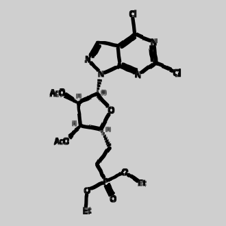 CCOP(=O)(CC[C@H]1O[C@@H](n2ncc3c(Cl)nc(Cl)nc32)[C@H](OC(C)=O)[C@@H]1OC(C)=O)OCC